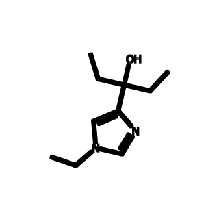 CCn1cnc(C(O)(CC)CC)c1